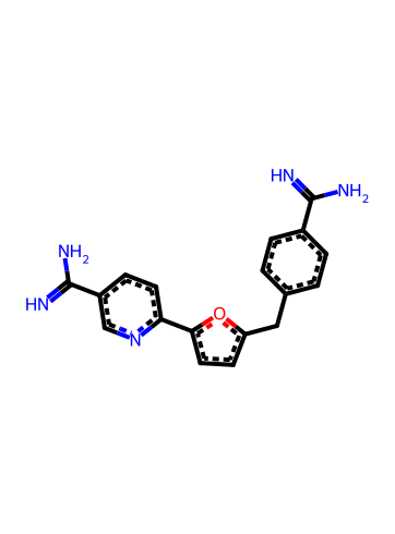 N=C(N)c1ccc(Cc2ccc(-c3ccc(C(=N)N)cn3)o2)cc1